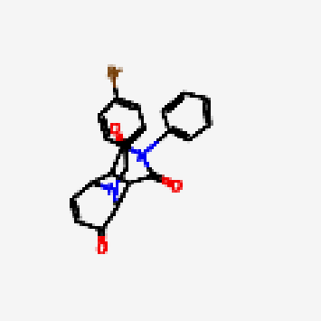 O=C1C=CC2C3C(=O)N(c4ccccc4)C(=O)C3C1N2Cc1ccc(Br)cc1